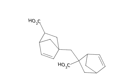 O=C(O)C1CC2(CC3(C(=O)O)CC4C=CC3C4)C=CC1C2